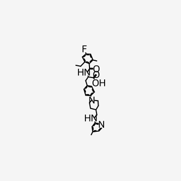 CCc1cc(F)cc(C)c1C(=O)NC(Cc1ccc(N2CCC(CNc3cc(C)ccn3)CC2)cc1)C(=O)O